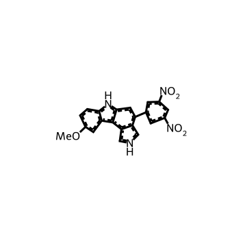 COc1ccc2[nH]c3cc(-c4cc([N+](=O)[O-])cc([N+](=O)[O-])c4)c4c[nH]cc4c3c2c1